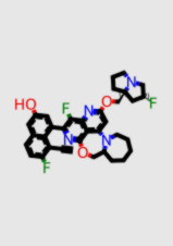 C#Cc1c(F)ccc2cc(O)cc(-c3nc4c5c(cc(OC[C@@]67CCCN6C[C@H](F)C7)nc5c3F)N3CCCCCC3CO4)c12